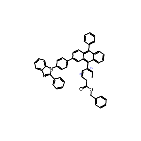 C/C=C(\C=C/CC(=O)OCc1ccccc1)c1c2ccccc2c(-c2ccccc2)c2ccc(-c3ccc(-n4c(-c5ccccc5)nc5ccccc54)cc3)cc12